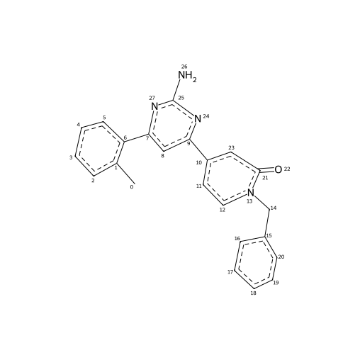 Cc1ccccc1-c1cc(-c2ccn(Cc3ccccc3)c(=O)c2)nc(N)n1